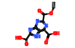 C#COC(=O)c1nc(C(=O)O)c2[nH]c(C(=O)O)nc2n1